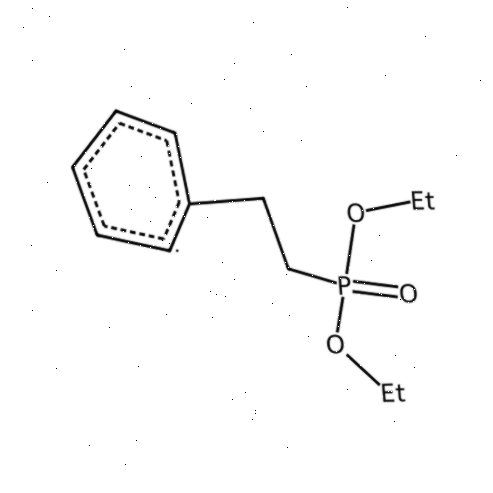 CCOP(=O)(CCc1[c]cccc1)OCC